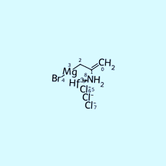 C=C[CH2][Mg][Br].[Cl-].[Cl-].[Cl-].[NH2][Hf+3]